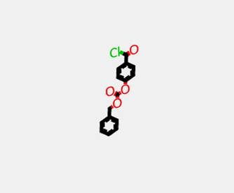 O=C(OCc1ccccc1)Oc1ccc(C(=O)Cl)cc1